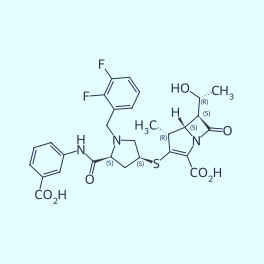 C[C@@H](O)[C@H]1C(=O)N2C(C(=O)O)=C(S[C@H]3C[C@@H](C(=O)Nc4cccc(C(=O)O)c4)N(Cc4cccc(F)c4F)C3)[C@H](C)[C@H]12